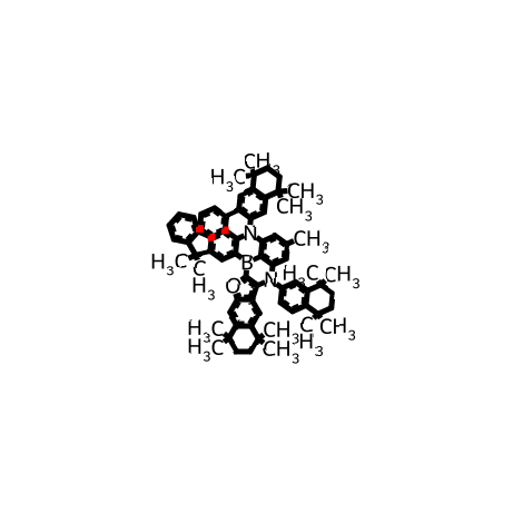 Cc1cc2c3c(c1)N(c1ccc4c(c1)C(C)(C)CCC4(C)C)c1c(oc4cc5c(cc14)C(C)(C)CCC5(C)C)B3c1cc3c(cc1N2c1cc2c(cc1-c1ccccc1)C(C)(C)CCC2(C)C)-c1ccccc1C3(C)C